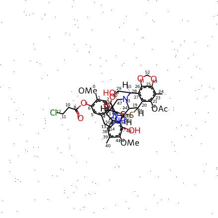 COc1cc2c(cc1OC(=O)CCCl)CCN[C@]21CS[C@@H]2c3c(OC(C)=O)c(C)c4c(c3[C@H](COC1=O)N1C2[C@H]2c3c(cc(C)c(OC)c3O)C[C@@H]([C@@H]1O)N2C)OCO4